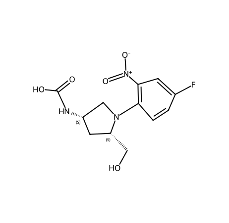 O=C(O)N[C@H]1C[C@@H](CO)N(c2ccc(F)cc2[N+](=O)[O-])C1